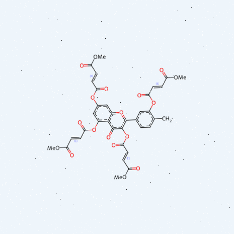 [CH2]c1ccc(-c2oc3cc(OC(=O)/C=C/C(=O)OC)cc(OC(=O)/C=C/C(=O)OC)c3c(=O)c2OC(=O)/C=C/C(=O)OC)cc1OC(=O)/C=C/C(=O)OC